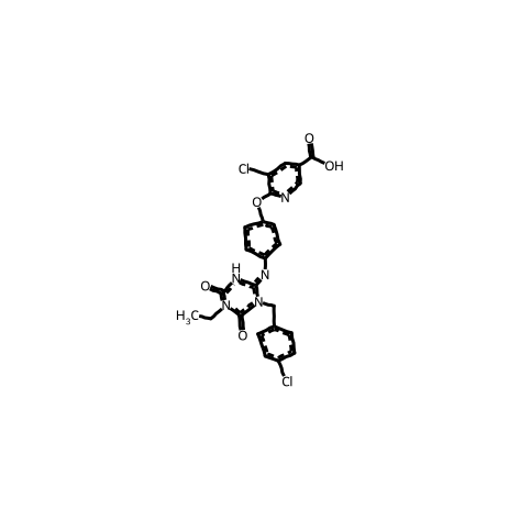 CCn1c(=O)[nH]/c(=N\c2ccc(Oc3ncc(C(=O)O)cc3Cl)cc2)n(Cc2ccc(Cl)cc2)c1=O